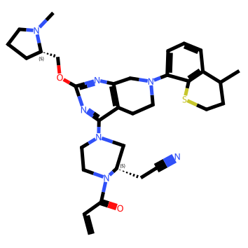 C=CC(=O)N1CCN(c2nc(OC[C@@H]3CCCN3C)nc3c2CCN(c2cccc4c2SCCC4C)C3)C[C@@H]1CC#N